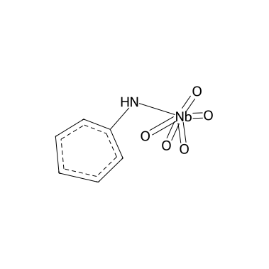 [O]=[Nb](=[O])(=[O])(=[O])(=[O])[NH]c1ccccc1